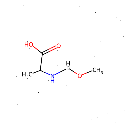 COBNC(C)C(=O)O